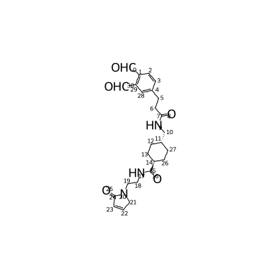 O=Cc1ccc(CCC(=O)NC[C@H]2CC[C@H](C(=O)NCCN3CC=CC3=O)CC2)cc1C=O